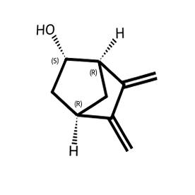 C=C1C(=C)[C@H]2C[C@@H]1C[C@@H]2O